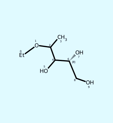 CCOC(C)C(O)[C@H](O)CO